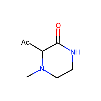 CC(=O)C1C(=O)NCCN1C